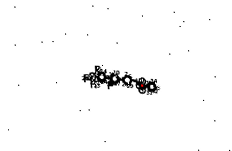 O=S(=O)(OCC1CCC(c2ccc(-c3cc(F)c(OC(F)F)c(F)c3)c(F)c2)CC1)c1ccccc1